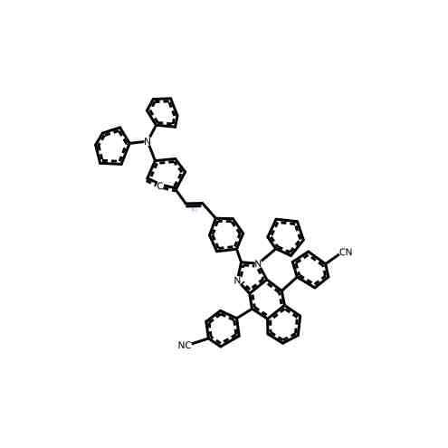 N#Cc1ccc(-c2c3ccccc3c(-c3ccc(C#N)cc3)c3c2nc(-c2ccc(/C=C/c4ccc(N(c5ccccc5)c5ccccc5)cc4)cc2)n3-c2ccccc2)cc1